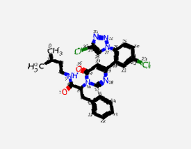 CC(C)CCNC(=O)C(Cc1ccccc1)n1cnc(-c2cc(Cl)ccc2-n2cc(Cl)nn2)cc1=O